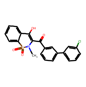 CN1C(C(=O)c2cccc(-c3cccc(Cl)c3)c2)=C(O)c2ccccc2S1(=O)=O